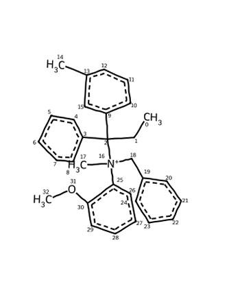 CCC(c1ccccc1)(c1cccc(C)c1)[N+](C)(Cc1ccccc1)c1ccccc1OC